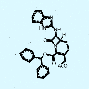 CC(=O)OCC1=C(C(=O)OC(c2ccccc2)c2ccccc2)N2C(=O)C(Nc3nc4ccccc4[nH]3)[C@@H]2SC1